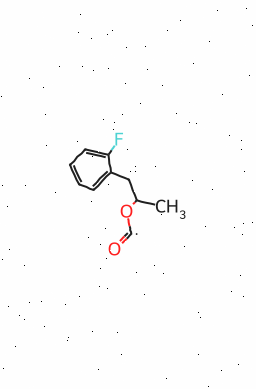 CC(Cc1ccccc1F)O[C]=O